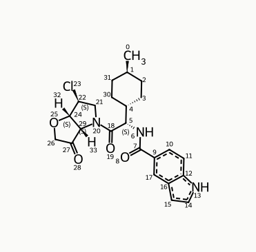 C[C@H]1CC[C@H]([C@H](NC(=O)c2ccc3[nH]ccc3c2)C(=O)N2C[C@H](Cl)[C@H]3OCC(=O)[C@H]32)CC1